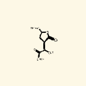 CCCCCC1C/C(=C(/O)C(=O)OC)C(=O)O1